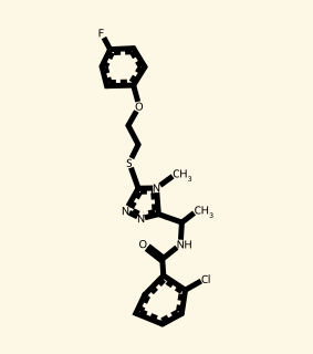 CC(NC(=O)c1ccccc1Cl)c1nnc(SCCOc2ccc(F)cc2)n1C